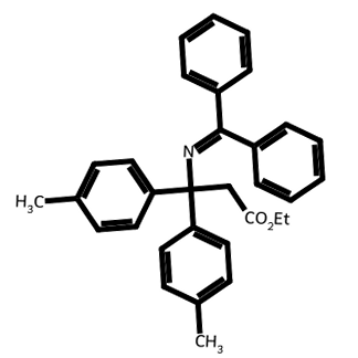 CCOC(=O)CC(N=C(c1ccccc1)c1ccccc1)(c1ccc(C)cc1)c1ccc(C)cc1